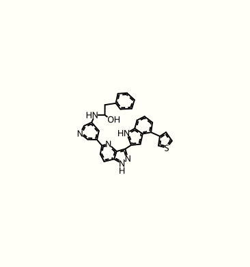 OC(Cc1ccccc1)Nc1cncc(-c2ccc3[nH]nc(-c4cc5c(-c6ccsc6)cccc5[nH]4)c3n2)c1